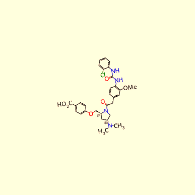 COc1cc(CC(=O)N2C[C@H](N(C)C)C[C@H]2COc2ccc(C(=O)O)cc2)ccc1NC(=O)Nc1ccccc1Cl